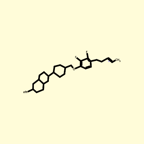 C/C=C/CCc1ccc(OCC2CCC(C3CCC4CC(CCC)CCC4C3)CC2)c(F)c1F